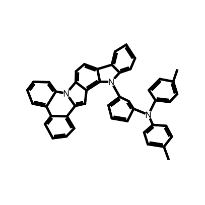 Cc1ccc(N(c2ccc(C)cc2)c2cccc(-n3c4ccccc4c4ccc5c(cc6c7ccccc7c7ccccc7n65)c43)c2)cc1